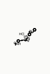 CC(=O)Nc1cccc(C#Cc2cc3ncnc(Nc4ccc5c(cnn5Cc5ccccc5)c4)c3s2)c1.Cl